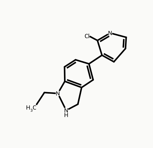 CCN1NCc2cc(-c3cccnc3Cl)ccc21